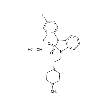 CN1CCN(CCN2c3ccccc3N(c3ccc(F)cc3F)S2(=O)=O)CC1.Cl.Cl